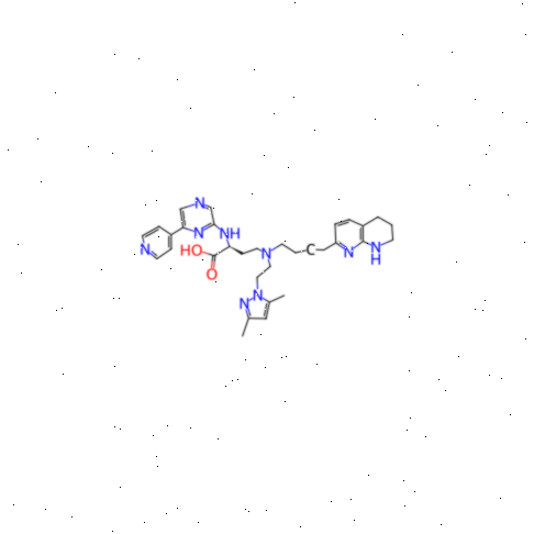 Cc1cc(C)n(CCN(CCCCc2ccc3c(n2)NCCC3)CC[C@H](Nc2cncc(-c3ccncc3)n2)C(=O)O)n1